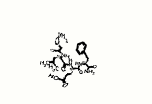 CC(C)C[C@H](NC(=O)CON)C(=O)N[C@@H](CCC(=O)O)C(=O)N[C@@H](Cc1ccccc1)C(N)=O